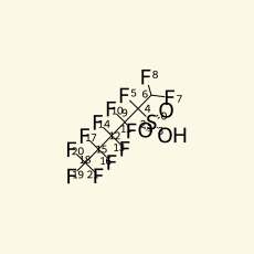 O=S(=O)(O)C(F)(C(F)F)C(F)(F)C(F)(F)C(F)(F)C(F)(F)F